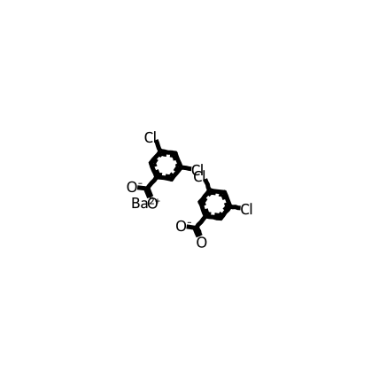 O=C([O-])c1cc(Cl)cc(Cl)c1.O=C([O-])c1cc(Cl)cc(Cl)c1.[Ba+2]